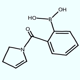 O=C(c1ccccc1B(O)O)N1C=CCC1